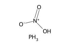 O=[N+]([O-])O.P